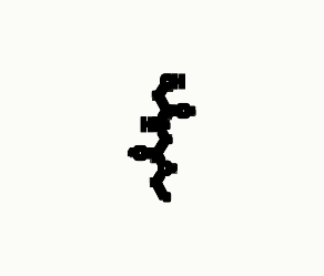 CCOC(=O)CNC(=O)CO